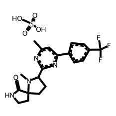 Cc1cc(-c2ccc(C(F)(F)F)cc2)nc(C2CCC3(CCNC3=O)N2C)n1.O=S(=O)(O)O